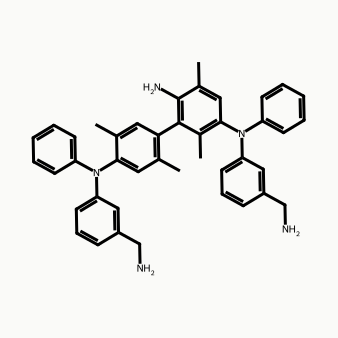 Cc1cc(N(c2ccccc2)c2cccc(CN)c2)c(C)cc1-c1c(C)c(N(c2ccccc2)c2cccc(CN)c2)cc(C)c1N